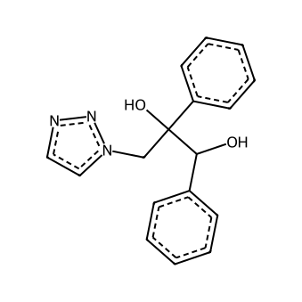 OC(c1ccccc1)C(O)(Cn1ccnn1)c1ccccc1